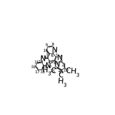 Cc1cc2nc3c4ncccc4c4nc5ccccc5nc4c3n2c(C)c1C